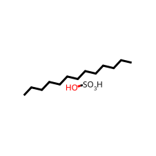 CCCCCCCCCCCCC.O=S(=O)(O)O